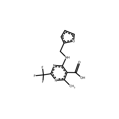 Cc1nc(C(F)(F)F)nc(NCc2ccco2)c1C(=O)O